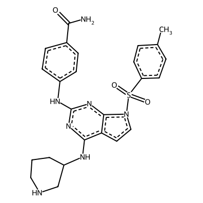 Cc1ccc(S(=O)(=O)n2ccc3c(NC4CCCNC4)nc(Nc4ccc(C(N)=O)cc4)nc32)cc1